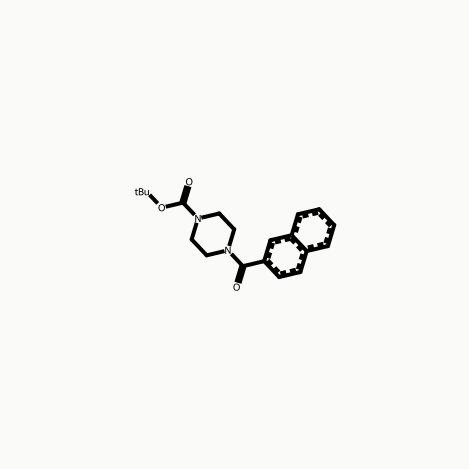 CC(C)(C)OC(=O)N1CCN(C(=O)c2ccc3ccccc3c2)CC1